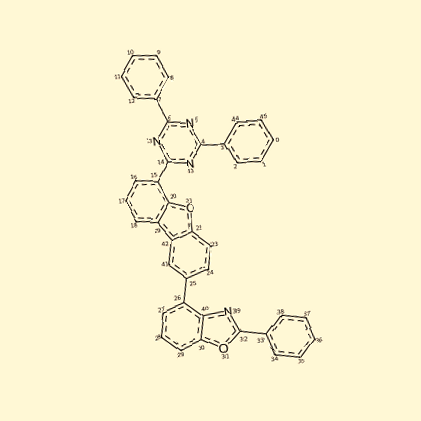 c1ccc(-c2nc(-c3ccccc3)nc(-c3cccc4c3oc3ccc(-c5cccc6oc(-c7ccccc7)nc56)cc34)n2)cc1